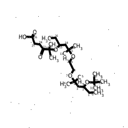 CCC(CC(C)(C)OCCOC(C)(C)CC(CC)OC(C)(C)C(=O)CCC(=O)O)OC(C)(C)C